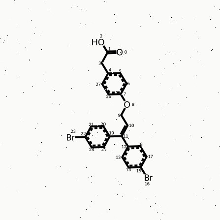 O=C(O)Cc1ccc(OCC=C(c2ccc(Br)cc2)c2ccc(Br)cc2)cc1